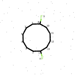 FC1CCCCCCC(F)CCCC1